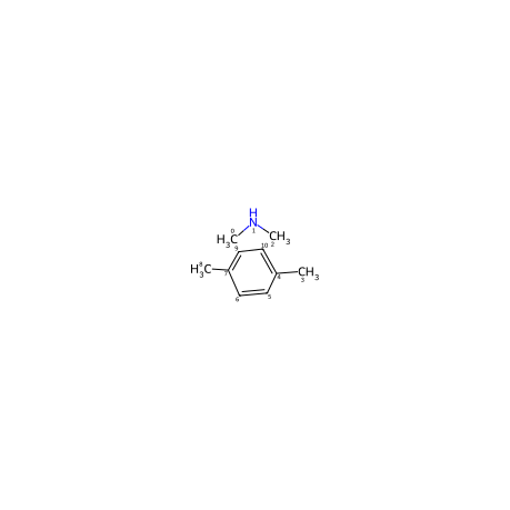 CNC.Cc1ccc(C)cc1